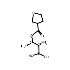 C[C@@H](OC(=O)C1CCOC1)[C@@H](N)B(O)O